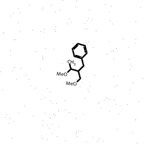 COCC(Cc1ccccc1)C(C)OC